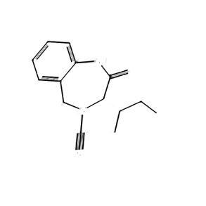 CCC(C)[C@H]1C(=O)Nc2ccccc2CN1C#N